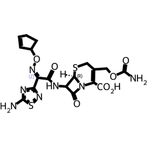 NC(=O)OCC1=C(C(=O)O)N2C(=O)C(NC(=O)/C(=N\OC3C=CCC3)c3nsc(N)n3)[C@H]2SC1